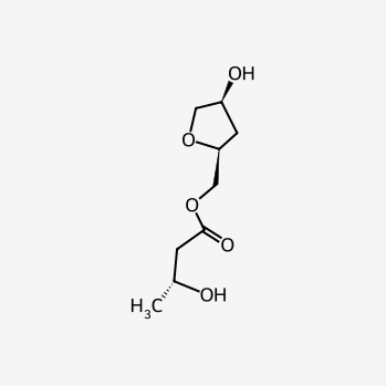 C[C@@H](O)CC(=O)OC[C@@H]1C[C@H](O)CO1